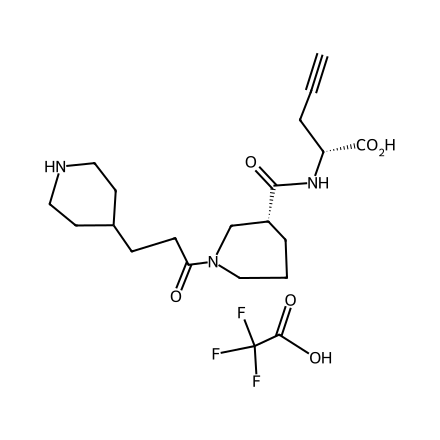 C#CC[C@@H](NC(=O)[C@@H]1CCCN(C(=O)CCC2CCNCC2)C1)C(=O)O.O=C(O)C(F)(F)F